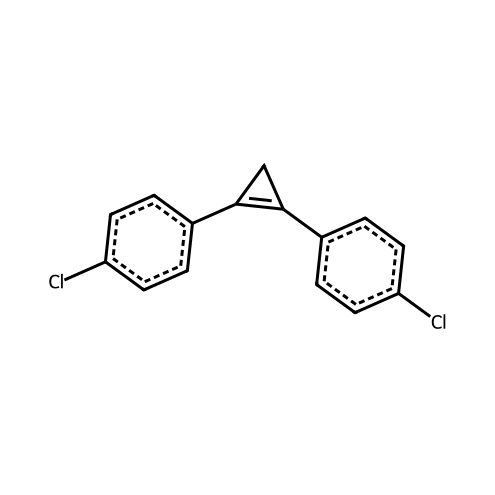 Clc1ccc(C2=C(c3ccc(Cl)cc3)C2)cc1